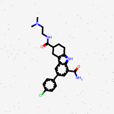 CN(C)CCNC(=O)C1CCc2[nH]c3c(C(N)=O)cc(-c4ccc(Cl)cc4)cc3c2C1